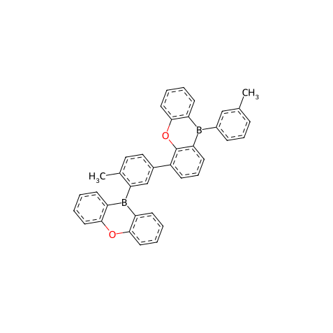 Cc1cccc(B2c3ccccc3Oc3c2cccc3-c2ccc(C)c(B3c4ccccc4Oc4ccccc43)c2)c1